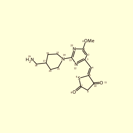 COc1cc(/C=C2\SC(=O)CC2=O)nc(N2CCC(CN)CC2)n1